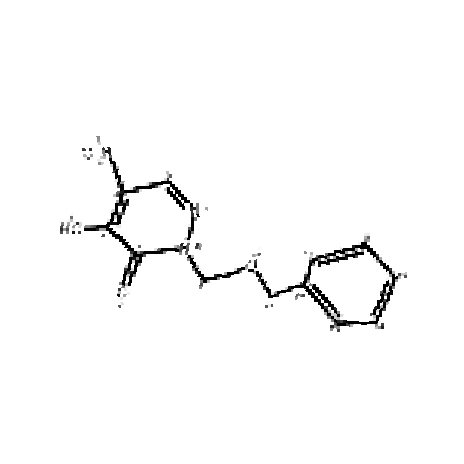 O=c1c(O)c([N+](=O)[O-])cnn1COCc1ccccc1